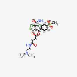 CN(C)CCNC(=O)CCC(=O)OC(c1ccc(S(C)(=O)=O)cc1)C(CF)C(Cl)(Cl)C(N)=O